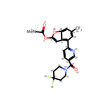 CNC(=O)Oc1cc2c(-c3ccc(C(=O)N4CCC(F)(F)CC4)cn3)cc(C(F)(F)F)cc2o1